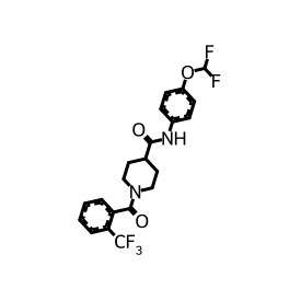 O=C(Nc1ccc(OC(F)F)cc1)C1CCN(C(=O)c2ccccc2C(F)(F)F)CC1